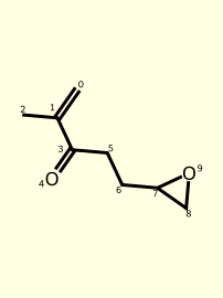 C=C(C)C(=O)CCC1CO1